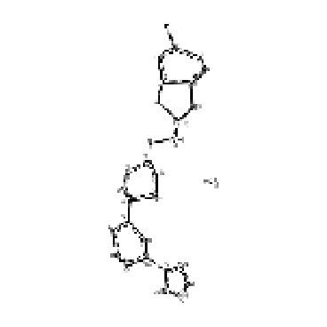 Cl.Fc1ccc2c(c1)C[C@H](NCc1ccc(-c3cccc(-c4nc[nH]n4)c3)cc1)C2